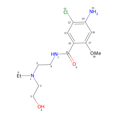 CCN(CCO)CCNC(=O)c1cc(Cl)c(N)cc1OC